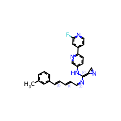 Cc1cccc(/C=C/C=C/C=N\C(Nc2ccc(-c3ccnc(F)c3)nc2)=C2C=N\2)c1